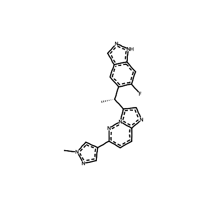 C[C@H](c1cc2cn[nH]c2cc1F)c1cnc2ccc(-c3cnn(C)c3)nn12